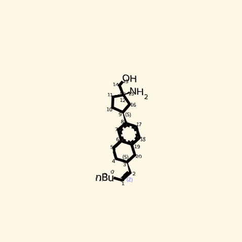 CCCC/C=C\[C@H]1CCc2cc([C@H]3CC[C@](N)(CO)C3)ccc2C1